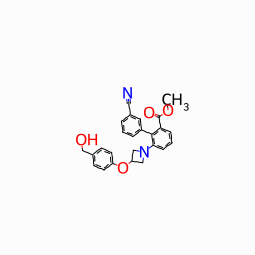 COC(=O)c1cccc(N2CC(Oc3ccc(CO)cc3)C2)c1-c1cccc(C#N)c1